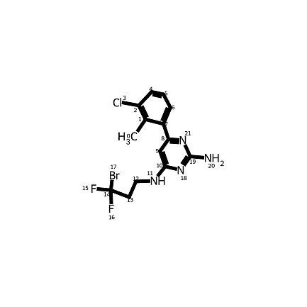 Cc1c(Cl)cccc1-c1cc(NCCC(F)(F)Br)nc(N)n1